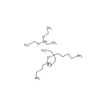 CCC(CC)(CCCCN)O[SiH2]CCCN.CCO[SiH](CC)OCC